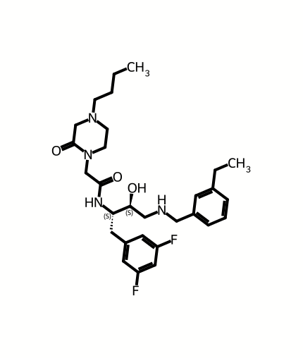 CCCCN1CCN(CC(=O)N[C@@H](Cc2cc(F)cc(F)c2)[C@@H](O)CNCc2cccc(CC)c2)C(=O)C1